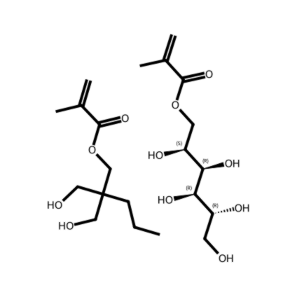 C=C(C)C(=O)OCC(CO)(CO)CCC.C=C(C)C(=O)OC[C@H](O)[C@@H](O)[C@H](O)[C@H](O)CO